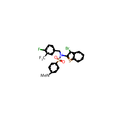 CNc1ccc(S(=O)(=O)N(Cc2ccc(F)c(C(F)(F)F)c2)c2sc3ccccc3c2Br)cc1